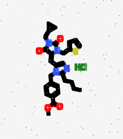 CCCCc1ncc(C=C2C(=O)N(CC3CC3)C(=O)N2Cc2cccs2)n1Cc1ccc(C(=O)OC)cc1.Cl